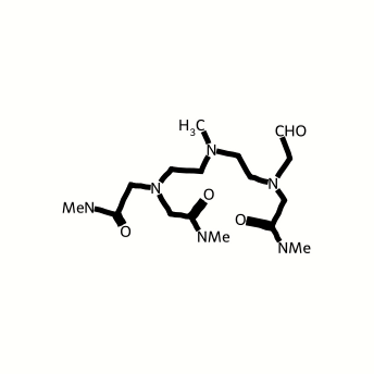 CNC(=O)CN(CC=O)CCN(C)CCN(CC(=O)NC)CC(=O)NC